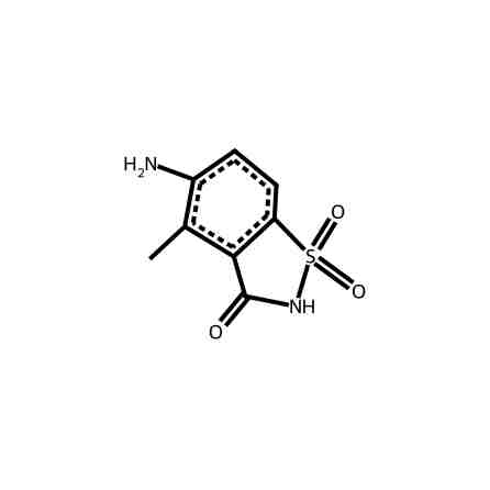 Cc1c(N)ccc2c1C(=O)NS2(=O)=O